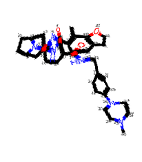 Cc1c(C(=O)NC2CC3CCC(C2)N3c2ccc(C(=O)NCc3ccc(N4CCN(C)CC4)cc3)cn2)ccc2c1OCC2